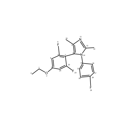 CCOc1cc(F)c(-c2c(C)nc(C)n2-c2ccc(F)cc2)c(F)c1